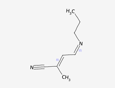 CCC/N=C\C=C(/C)C#N